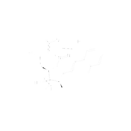 CCC(O[C@@]12CC[C@@H](c3cc(-c4c(F)cccc4F)nnc31)C2(C)C)c1nnc(CO)o1